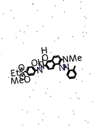 CCS(=O)(=O)c1cc(O)c(/N=N/c2ccc3c(/N=N/c4ccccc4C)c(NC)ccc3c2O)cc1OC